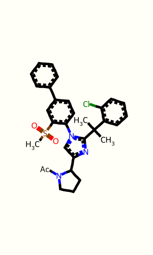 CC(=O)N1CCCC1c1cn(-c2ccc(-c3ccccc3)cc2S(C)(=O)=O)c(C(C)(C)c2ccccc2Cl)n1